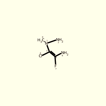 CN(N)/C(Cl)=C(\N)F